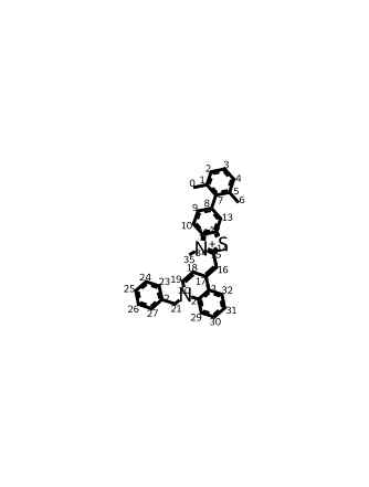 Cc1cccc(C)c1-c1ccc2c(c1)sc(C=C1C=CN(Cc3ccccc3)c3ccccc31)[n+]2C